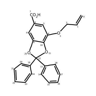 C=CCOc1cc(C(=O)O)cc2c1OC(c1ccccc1)(c1ccccc1)O2